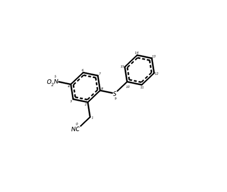 N#CCc1cc([N+](=O)[O-])ccc1Sc1ccccc1